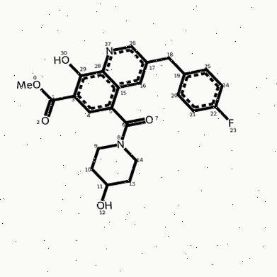 COC(=O)c1cc(C(=O)N2CCC(O)CC2)c2cc(Cc3ccc(F)cc3)cnc2c1O